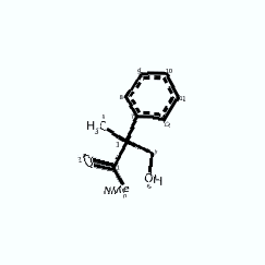 CNC(=O)C(C)(CO)c1ccccc1